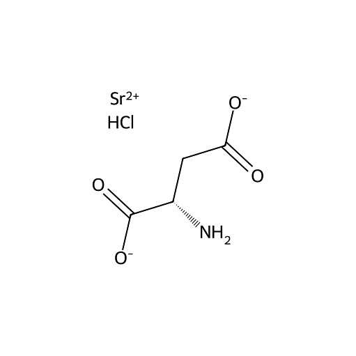 Cl.N[C@@H](CC(=O)[O-])C(=O)[O-].[Sr+2]